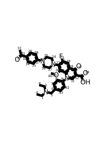 CCN(CC)Cc1ccc(-n2cc(C(=O)O)c(=O)c3cc(F)c(N4CCN(c5ccc(C(C)=O)cc5)CC4)c(OC)c32)cc1